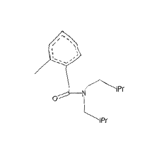 Cc1ccccc1C(=O)N(CC(C)C)CC(C)C